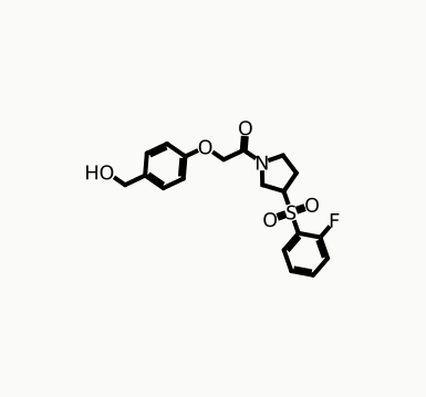 O=C(COc1ccc(CO)cc1)N1CCC(S(=O)(=O)c2ccccc2F)C1